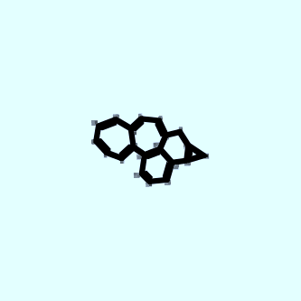 C1=CC=C2C(=CC=C3CC4=C(C4)c4cccc2c43)C=C1